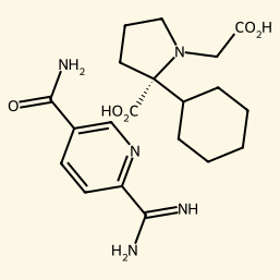 N=C(N)c1ccc(C(N)=O)cn1.O=C(O)CN1CCC[C@]1(C(=O)O)C1CCCCC1